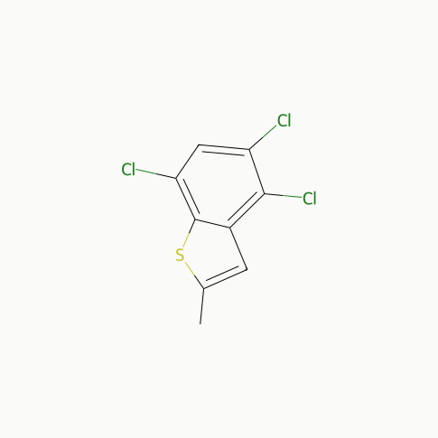 Cc1cc2c(Cl)c(Cl)cc(Cl)c2s1